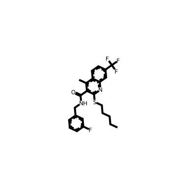 CCCCCSc1nc2cc(C(F)(F)F)ccc2c(C)c1C(=O)NCc1cccc(F)c1